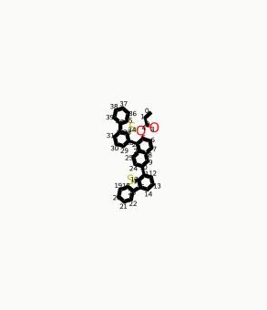 C=CC(=O)Oc1ccc2cc(-c3cccc4c3sc3ccccc34)ccc2c1-c1cccc2c1sc1ccccc12